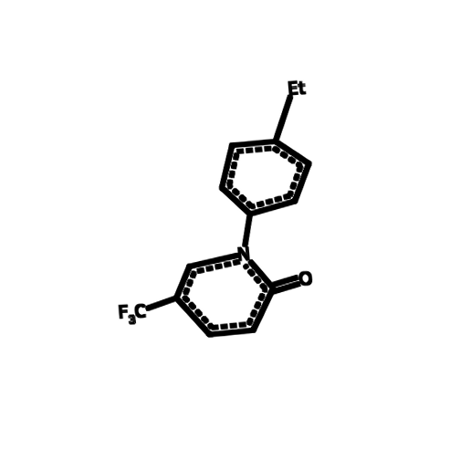 CCc1ccc(-n2cc(C(F)(F)F)ccc2=O)cc1